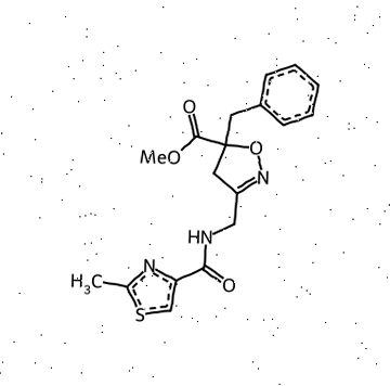 COC(=O)C1(Cc2ccccc2)CC(CNC(=O)c2csc(C)n2)=NO1